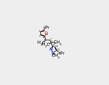 CC(C)c1ccc(C(C)CC(C)(C)c2cc(C(C)C)n(C)n2)o1